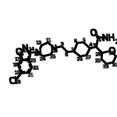 NC(=O)[C@H](C1CCC(CCN2CCN(c3noc4cc(Cl)ccc34)CC2)CC1)C1CCCCO1